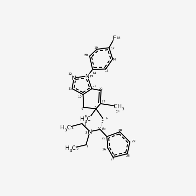 CCN(CC)[C@H](CC1(C)Cc2cnn(-c3ccc(F)cc3)c2C=C1C)c1ccccc1